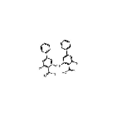 O=C(Cl)c1c(F)cc(-c2ccccc2)cc1F.O=C(O)c1c(F)cc(-c2ccccc2)cc1F